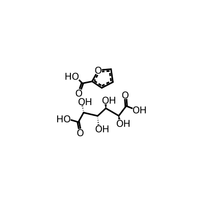 O=C(O)[C@@H](O)[C@H](O)[C@H](O)[C@@H](O)C(=O)O.O=C(O)c1ccco1